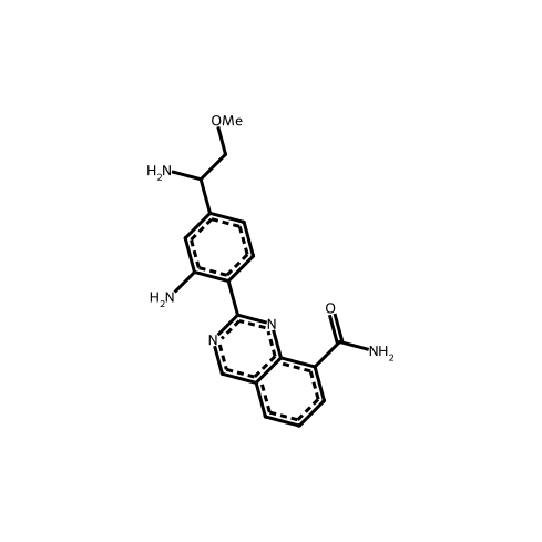 COCC(N)c1ccc(-c2ncc3cccc(C(N)=O)c3n2)c(N)c1